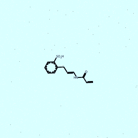 C=CC(=O)NC=CCc1ccccc1S(=O)(=O)O